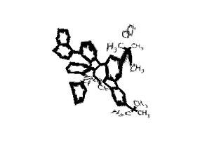 CCCC1=Cc2c(-c3cccc4ccccc34)cccc2C1c1cc(C(C)(C)C)cc2c1[CH]([Zr+2][SiH](c1ccccc1)c1ccccc1)c1ccc(C(C)(C)C)cc1-2.[Cl-].[Cl-]